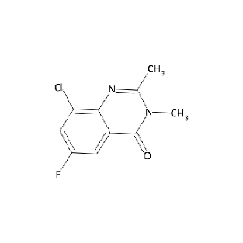 Cc1nc2c(Cl)cc(F)cc2c(=O)n1C